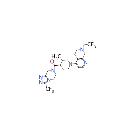 CC1CN(c2ccnc3c2CCN(CC(F)(F)F)C3)CCC1C(=O)N1CCn2c(nnc2C(F)(F)F)C1